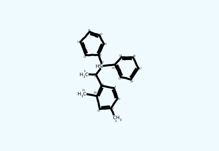 Cc1ccc(C(C)[SiH](c2ccccc2)c2ccccc2)c(C)c1